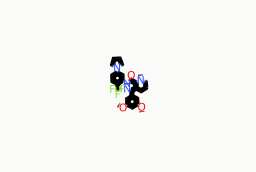 COc1cc(OC)cc(-c2nn(-c3cc(N4CCCC4)ccc3C(F)(F)F)c(=O)c3c2CCCN3C)c1